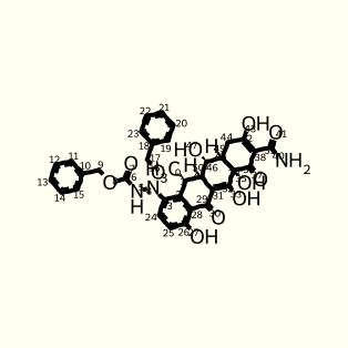 C[C@H]1c2c(N(NC(=O)OCc3ccccc3)OCc3ccccc3)ccc(O)c2C(=O)C2=C(O)[C@]3(O)C(=O)C(C(N)=O)=C(O)C[C@@H]3[C@@H](O)[C@@H]21